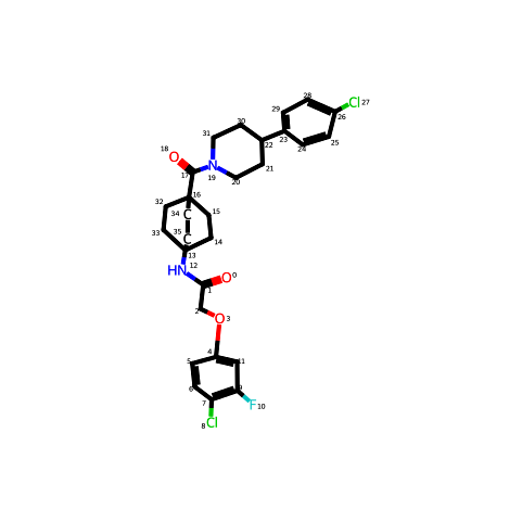 O=C(COc1ccc(Cl)c(F)c1)NC12CCC(C(=O)N3CCC(c4ccc(Cl)cc4)CC3)(CC1)CC2